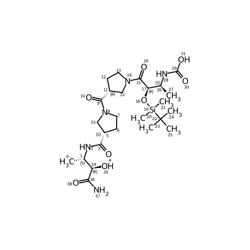 C[C@H](NC(=O)[C@H]1CCN(C(=O)[C@@H]2CCN(C(=O)[C@H](O[Si](C)(C)C(C)(C)C)[C@H](C)NC(=O)O)C2)C1)[C@@H](O)C(N)=O